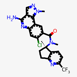 CN(C(=O)c1cc2c(cc1Cl)nc(N)c1cnn(C)c12)[C@]1(C)CCc2nc(C(F)(F)F)ccc21